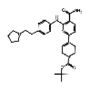 CC(C)(C)OC(=O)N1CC=C(c2ccc(C(N)=O)c(Nc3ccc(CCN4CCCC4)cc3)n2)CC1